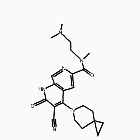 CN(C)CCN(C)C(=O)c1cc2c(N3CCC4(CC3)CC4)c(C#N)c(=O)[nH]c2cn1